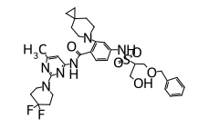 Cc1cc(NC(=O)c2ccc(NS(=O)(=O)C(CO)COCc3ccccc3)cc2N2CCC3(CC2)CC3)nc(N2CCC(F)(F)CC2)n1